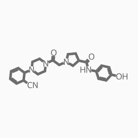 N#CC1C=CC=CC1N1CCN(C(=O)CN2CCC(C(=O)Nc3ccc(O)cc3)C2)CC1